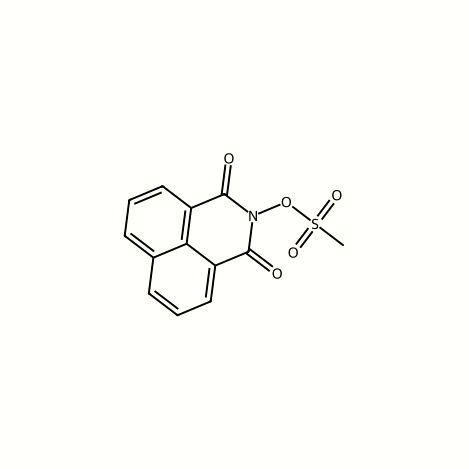 CS(=O)(=O)ON1C(=O)c2cccc3cccc(c23)C1=O